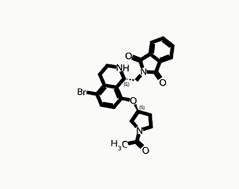 CC(=O)N1CC[C@H](Oc2ccc(Br)c3c2[C@@H](CN2C(=O)c4ccccc4C2=O)NCC3)C1